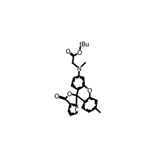 Cc1ccc2c(c1)Oc1cc(N(C)CC(=O)OC(C)(C)C)ccc1C21OC(=O)c2ccccc21